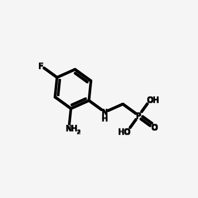 Nc1cc(F)ccc1NCP(=O)(O)O